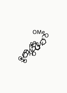 CCCSc1nc(N2CCC[C@@H](CC(=O)OC)C2)ccc1C(=O)N[C@H]1C2CC3CC1C[C@@](S(C)(=O)=O)(C3)C2